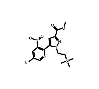 COC(=O)c1cc(-c2ncc(Br)cc2[N+](=O)[O-])n(CC[Si](C)(C)C)n1